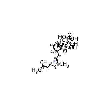 CC(C)=CCC/C(C)=C/Cc1ccc[n+](CC(O)(P(=O)(O)O)P(=O)(O)O)c1